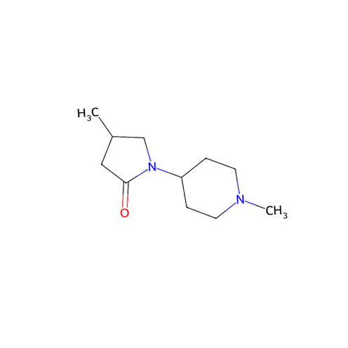 CC1CC(=O)N(C2CCN(C)CC2)C1